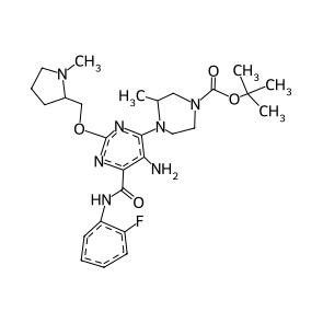 CC1CN(C(=O)OC(C)(C)C)CCN1c1nc(OCC2CCCN2C)nc(C(=O)Nc2ccccc2F)c1N